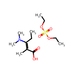 CC/C(=C(/C)C(=O)O)N(C)C.CCOS(=O)(=O)OCC